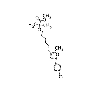 COC(=O)C(C)(C)OCCCCCCc1nc(-c2ccc(Cl)cc2)oc1C